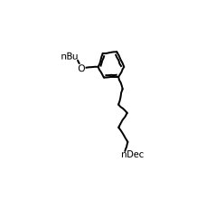 [CH2]CCCOc1cccc(CCCCCCCCCCCCCCC)c1